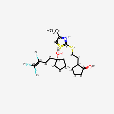 O=C(O)c1csc(SCCC2C(=O)CC[C@@H]2C2CC[C@@](O)(CCC(F)=C(F)F)C2)n1